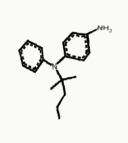 CCCC(C)(C)N(c1ccccc1)c1ccc(N)cc1